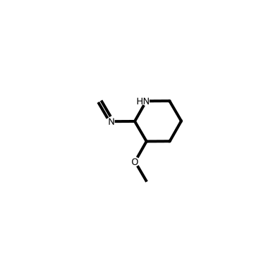 C=NC1NCCCC1OC